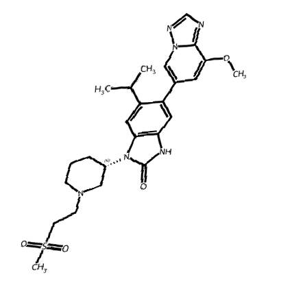 COc1cc(-c2cc3[nH]c(=O)n([C@H]4CCCN(CCS(C)(=O)=O)C4)c3cc2C(C)C)cn2ncnc12